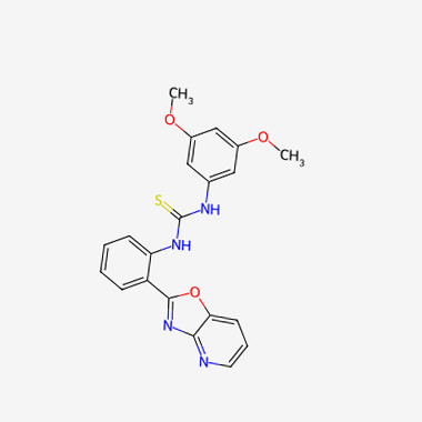 COc1cc(NC(=S)Nc2ccccc2-c2nc3ncccc3o2)cc(OC)c1